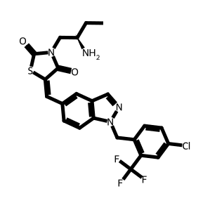 CC[C@@H](N)CN1C(=O)SC(=Cc2ccc3c(cnn3Cc3ccc(Cl)cc3C(F)(F)F)c2)C1=O